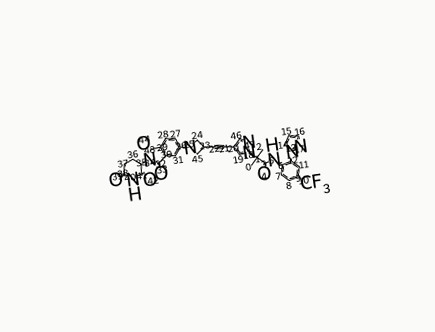 CC(C)(C(=O)Nc1ccc(C(F)(F)F)cc1-n1cccn1)n1cc(C#CC2CN(c3ccc4c(c3)C(=O)N(C3CCC(=O)NC3=O)C4=O)C2)cn1